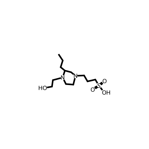 CCCC1CN(CCCS(=O)(=O)O)CCN1CCO